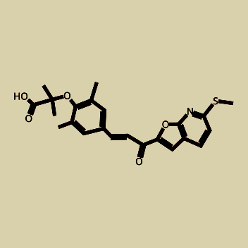 CSc1ccc2cc(C(=O)/C=C/c3cc(C)c(OC(C)(C)C(=O)O)c(C)c3)oc2n1